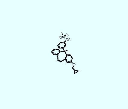 CC1(c2cccc(NS(C)(=O)=O)c2)c2ccccc2CCc2cc(OCC3CC3)ccc21